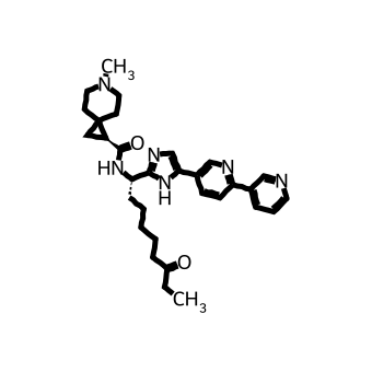 CCC(=O)CCCCC[C@H](NC(=O)[C@H]1CC12CCN(C)CC2)c1ncc(-c2ccc(-c3cccnc3)nc2)[nH]1